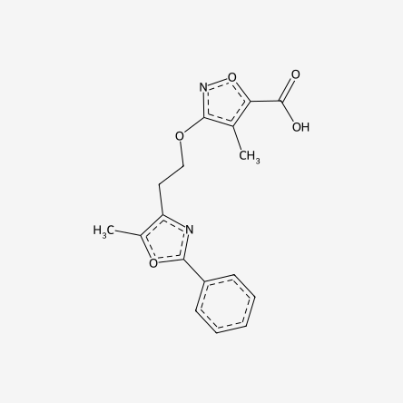 Cc1oc(-c2ccccc2)nc1CCOc1noc(C(=O)O)c1C